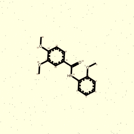 COc1cc[c]cc1NC(=O)c1ccc(OC)c(OC)c1